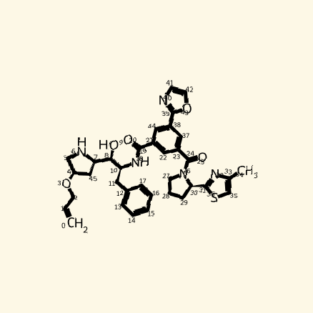 C=CCO[C@H]1CN[C@@H]([C@@H](O)[C@H](Cc2ccccc2)NC(=O)c2cc(C(=O)N3CCC[C@@H]3c3nc(C)cs3)cc(-c3ncco3)c2)C1